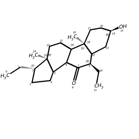 CC[C@H]1CCC2C3C(=O)[C@H](CC)C4C[C@H](O)CC[C@]4(C)C3CC[C@@]21C